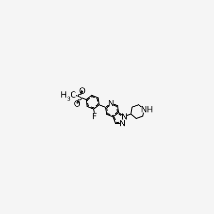 CS(=O)(=O)c1ccc(-c2cc3cnn(C4CCNCC4)c3cn2)c(F)c1